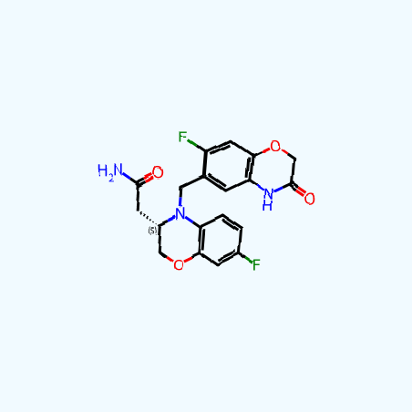 NC(=O)C[C@H]1COc2cc(F)ccc2N1Cc1cc2c(cc1F)OCC(=O)N2